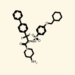 NC1CCN(C(=O)[C@H](NS(=O)(=O)c2ccc(OCC3CCCCC3)cc2)C(F)(F)c2ccc(-c3ccccc3)cc2)CC1